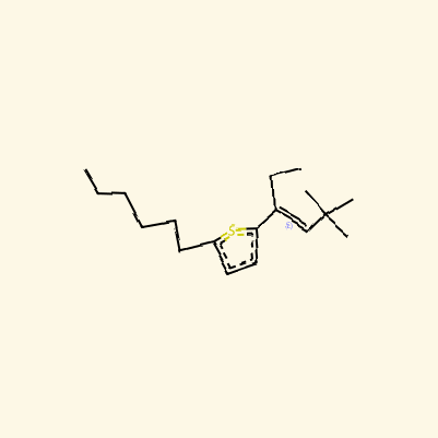 CCCCCCc1ccc(/C(=C/C(C)(C)C)CC)s1